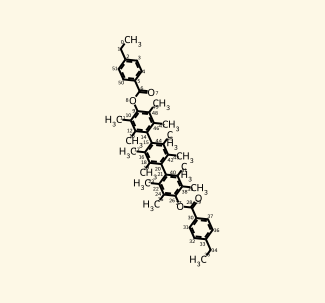 CCc1ccc(C(=O)Oc2c(C)c(C)c(-c3c(C)c(C)c(-c4c(C)c(C)c(OC(=O)c5ccc(CC)cc5)c(C)c4C)c(C)c3C)c(C)c2C)cc1